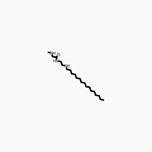 CCCCCCCCCCCCCCCCNCCNC(=O)CNC